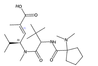 C/C(=C\[C@H](C(C)C)N(C)C(=O)C(NC(=O)C1(N(C)C)CCCC1)C(C)(C)C)C(=O)O